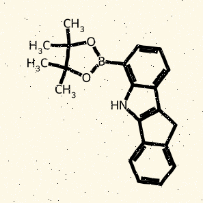 CC1(C)OB(c2cccc3c4c([nH]c23)-c2ccccc2C4)OC1(C)C